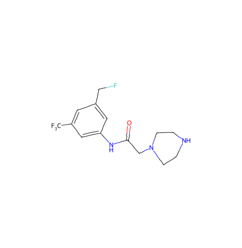 O=C(CN1CCNCC1)Nc1cc(CF)cc(C(F)(F)F)c1